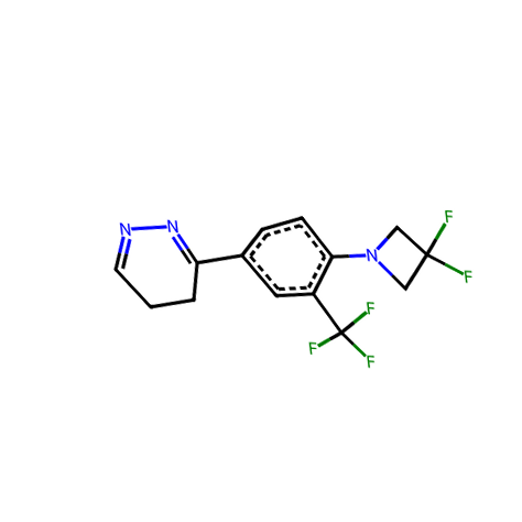 FC1(F)CN(c2ccc(C3=NN=CCC3)cc2C(F)(F)F)C1